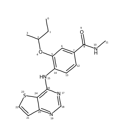 CCC(C)Oc1cc(C(=O)NC)ccc1Nc1ncnc2ccsc12